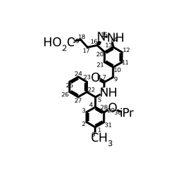 Cc1ccc(C(NC(=O)Cc2ccc3[nH]nc(CCC(=O)O)c3c2)c2ccccc2)c(OC(C)C)c1